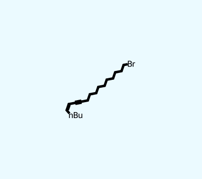 CCCC/C=C\C#CCCCCCCCCCCBr